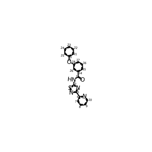 O=C(Nc1nc(-c2ccccn2)ns1)c1cccc(Oc2ccccc2)c1